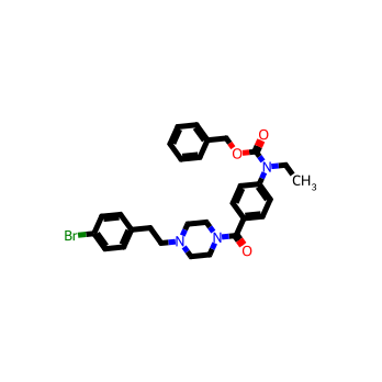 CCN(C(=O)OCc1ccccc1)c1ccc(C(=O)N2CCN(CCc3ccc(Br)cc3)CC2)cc1